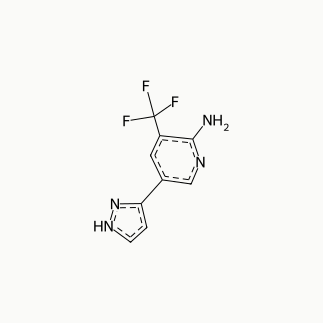 Nc1ncc(-c2cc[nH]n2)cc1C(F)(F)F